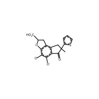 CC1(c2cccs2)Cc2c3c(c(Cl)c(Cl)c2C1=O)OC(C(=O)O)C3